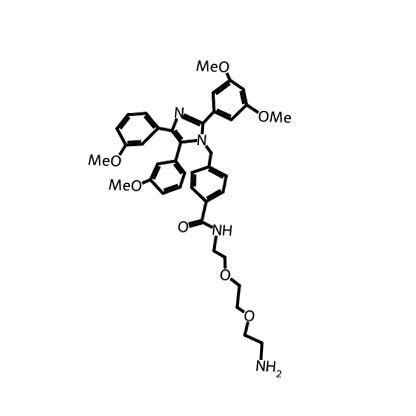 COc1cccc(-c2nc(-c3cc(OC)cc(OC)c3)n(Cc3ccc(C(=O)NCCOCCOCCN)cc3)c2-c2cccc(OC)c2)c1